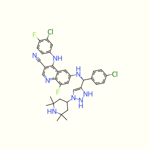 CC1(C)CC(N2C=C([C@@H](Nc3cc(F)c4ncc(C#N)c(Nc5ccc(F)c(Cl)c5)c4c3)c3ccc(Cl)cc3)NN2)CC(C)(C)N1